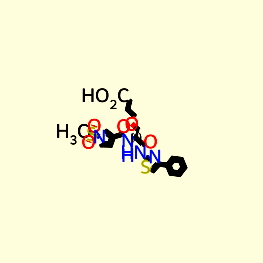 CS(=O)(=O)n1ccc(C(=O)N[C@@H](COCCCC(=O)O)C(=O)Nc2nc(-c3ccccc3)cs2)c1